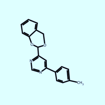 Cc1ccc(-c2cc(C3OCc4ccccc4O3)ncn2)cc1